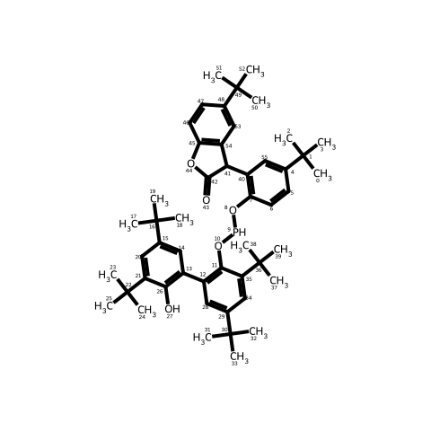 CC(C)(C)c1ccc(OPOc2c(-c3cc(C(C)(C)C)cc(C(C)(C)C)c3O)cc(C(C)(C)C)cc2C(C)(C)C)c(C2C(=O)Oc3ccc(C(C)(C)C)cc32)c1